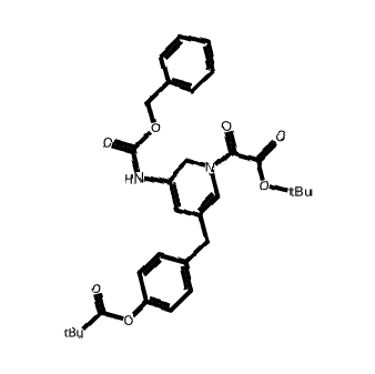 CC(C)(C)OC(=O)C(=O)N1C=C(Cc2ccc(OC(=O)C(C)(C)C)cc2)C=C(NC(=O)OCc2ccccc2)C1